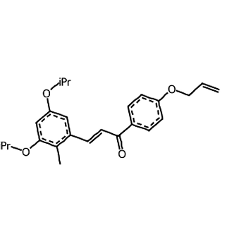 C=CCOc1ccc(C(=O)C=Cc2cc(OC(C)C)cc(OC(C)C)c2C)cc1